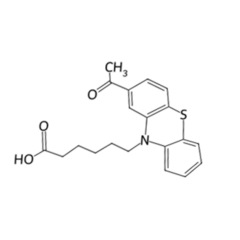 CC(=O)c1ccc2c(c1)N(CCCCCC(=O)O)c1ccccc1S2